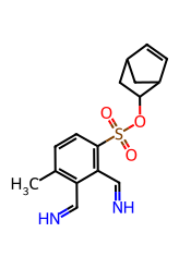 Cc1ccc(S(=O)(=O)OC2CC3C=CC2C3)c(C=N)c1C=N